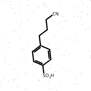 N#CCCCc1ccc(S(=O)(=O)O)cc1